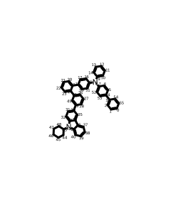 c1ccc(-c2ccc(N(c3ccccc3)c3ccc(-c4ccccc4-c4cccc(-c5ccc6c(c5)c5ccccc5n6C5CCCCC5)c4)cc3)cc2)cc1